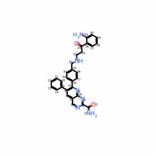 NC(=O)c1ncc2cc(-c3ccccc3)c(-c3ccc(CNCCC(=O)c4ccccc4N)cc3)nc2n1